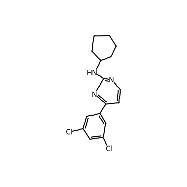 Clc1cc(Cl)cc(-c2ccnc(NC3CCCCC3)n2)c1